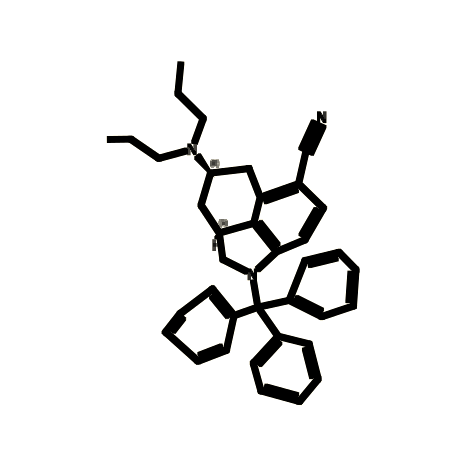 CCCN(CCC)[C@H]1Cc2c(C#N)ccc3c2[C@@H](C1)CN3C(c1ccccc1)(c1ccccc1)c1ccccc1